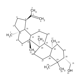 C=C(C)[C@@H]1CC[C@]2(C)CC[C@]3(C)C(CCC4[C@@]5(C)CC[C@H](CO)C(C)(C)C5CC[C@]43C)C12